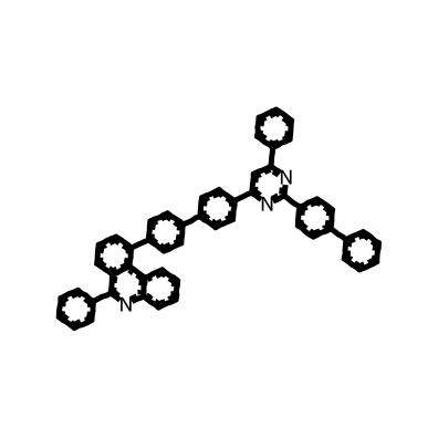 c1ccc(-c2ccc(-c3nc(-c4ccccc4)cc(-c4ccc(-c5ccc(-c6cccc7c(-c8ccccc8)nc8ccccc8c67)cc5)cc4)n3)cc2)cc1